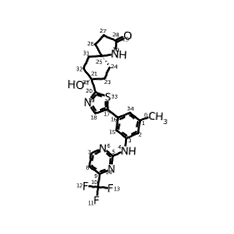 Cc1cc(Nc2nccc(C(F)(F)F)n2)cc(-c2cnc([C@]3(O)CC[C@@]4(CCC(=O)N4)CC3)s2)c1